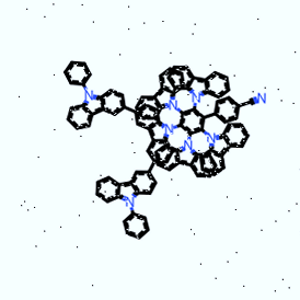 N#Cc1ccc(-c2c(-n3c4ccccc4c4ccccc43)c(-n3c4ccccc4c4ccccc43)c(-n3c4ccc(-c5ccc6c(c5)c5ccccc5n6-c5ccccc5)cc4c4cc(-c5ccc6c(c5)c5ccccc5n6-c5ccccc5)ccc43)c(-n3c4ccccc4c4ccccc43)c2-n2c3ccccc3c3ccccc32)cc1